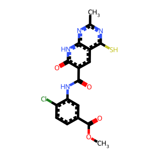 COC(=O)c1ccc(Cl)c(NC(=O)c2cc3c(S)nc(C)nc3[nH]c2=O)c1